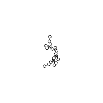 c1ccc(-c2ccc3cc(N(c4ccc5c(c4)oc4ccc6cc7c(cc6c45)c4ccc(N(c5ccc6cc(-c8ccccc8)ccc6c5)c5cccc6ccccc56)c5c6ccccc6n7c45)c4cccc5ccccc45)ccc3c2)cc1